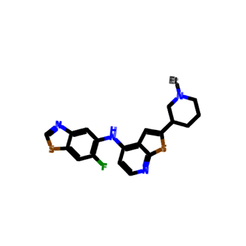 CCN1CCCC(c2cc3c(Nc4cc5ncsc5cc4F)ccnc3s2)C1